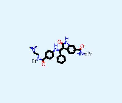 CCCNC(=O)c1ccc2c(c1)NC(=O)/C2=C(\Nc1ccc(C(=O)N(CC)CCN(C)C)cc1)c1ccccc1